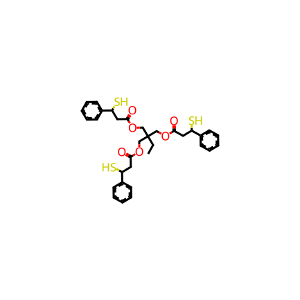 CCC(COC(=O)CC(S)c1ccccc1)(COC(=O)CC(S)c1ccccc1)COC(=O)CC(S)c1ccccc1